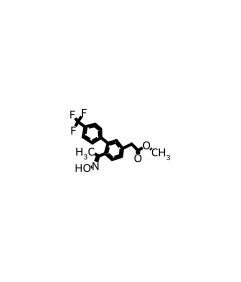 COC(=O)Cc1ccc(/C(C)=N/O)c(-c2ccc(C(F)(F)F)cc2)c1